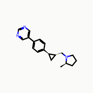 C[C@@H]1CCCN1C[C@@H]1C[C@H]1c1ccc(-c2cncnc2)cc1